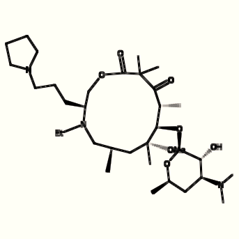 CCN1C[C@H](C)C[C@@](C)(OC)[C@H](O[C@@H]2O[C@H](C)C[C@H](N(C)C)[C@H]2O)[C@@H](C)C(=O)C(C)(C)C(=O)OC[C@@H]1CCCN1CCCC1